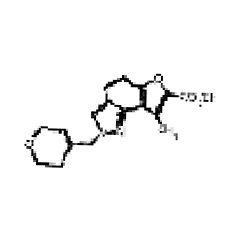 CCOC(=O)c1oc2c(c1C)-c1nn(CC3CCOCC3)cc1CC2